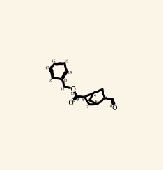 O=CC1CC2CC1CC2C(=O)OCc1ccccc1